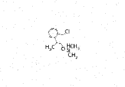 CC(CO[SiH](C)C)c1ccccc1CCl